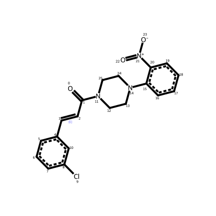 O=C(/C=C/c1cccc(Cl)c1)N1CCN(c2ccccc2[N+](=O)[O-])CC1